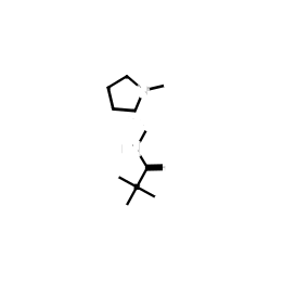 CN1CCC[C@H]1CNC(=O)C(C)(C)C